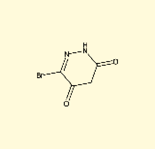 O=C1CC(=O)C(Br)=NN1